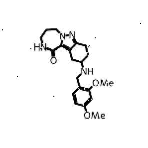 COc1ccc(CNC2CCc3nn4c(c3C2)C(=O)NCCC4)c(OC)c1